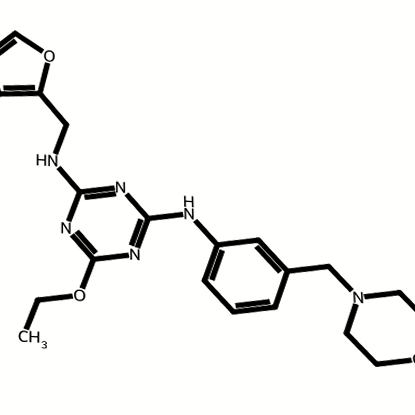 CCOc1nc(NCc2ccco2)nc(Nc2cccc(CN3CCOCC3)c2)n1